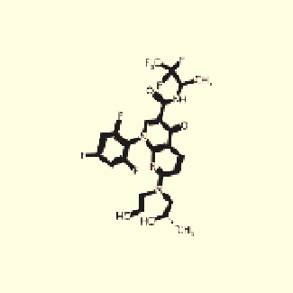 CC(NC(=O)c1cn(-c2c(F)cc(F)cc2F)c2nc(N(CCO)C[C@H](C)O)ccc2c1=O)C(F)(F)C(F)(F)F